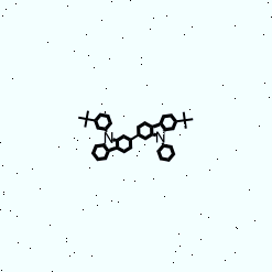 CC(C)(C)c1cccc(-n2c3ccccc3c3ccc(-c4ccc5c6ccc(C(C)(C)C)cc6n(-c6ccccc6)c5c4)cc32)c1